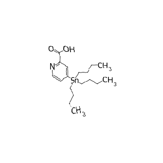 CCC[CH2][Sn]([CH2]CCC)([CH2]CCC)[c]1ccnc(C(=O)O)c1